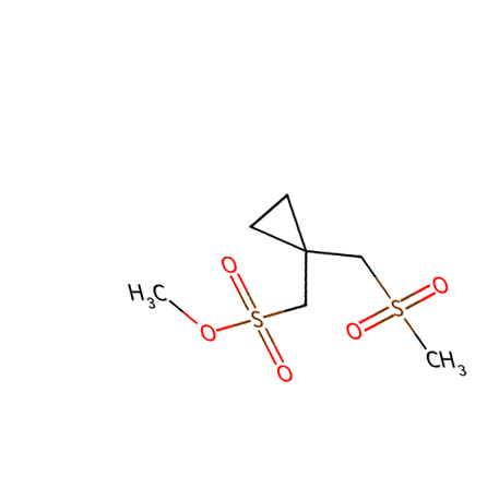 COS(=O)(=O)CC1(CS(C)(=O)=O)CC1